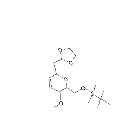 COC1C=CC(CC2OCCO2)OC1CO[Si](C)(C)C(C)(C)C